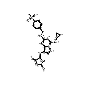 CS(=O)(=O)c1ccc(CNc2nc(NC3CC3)n3ncc(/C=C4\NC(=O)NC4=O)c3n2)cc1